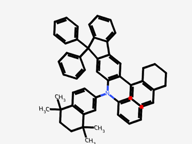 CC1(C)CCC(C)(C)c2cc(N(c3ccccc3)c3cc4c(cc3-c3cccc5c3CCCC5)-c3ccccc3C4(c3ccccc3)c3ccccc3)ccc21